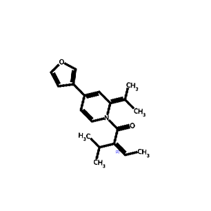 C/C=C(\C(=O)N1C=CC(c2ccoc2)=CC1=C(C)C)C(C)C